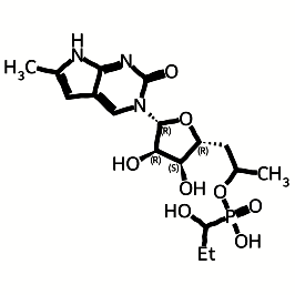 CCC(O)P(=O)(O)OC(C)C[C@H]1O[C@@H](n2cc3cc(C)[nH]c3nc2=O)[C@H](O)[C@@H]1O